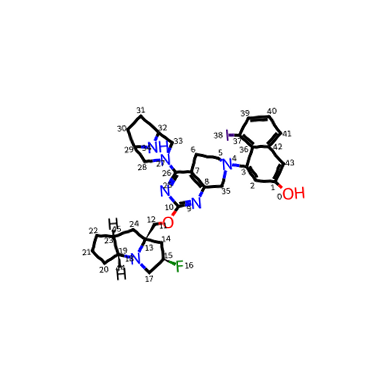 Oc1cc(N2CCc3c(nc(OC[C@@]45C[C@@H](F)CN4[C@@H]4CCC[C@@H]4C5)nc3N3CC4CCC(C3)N4)C2)c2c(I)cccc2c1